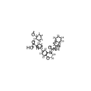 COc1cccc(-c2sc(-c3ccc4c(c3)N(C(=O)Nc3nc5ccccc5s3)CCO4)nc2C(=O)O)c1